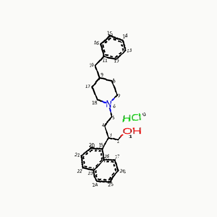 Cl.OCC(CCN1CCC(Cc2ccccc2)CC1)c1cccc2ccccc12